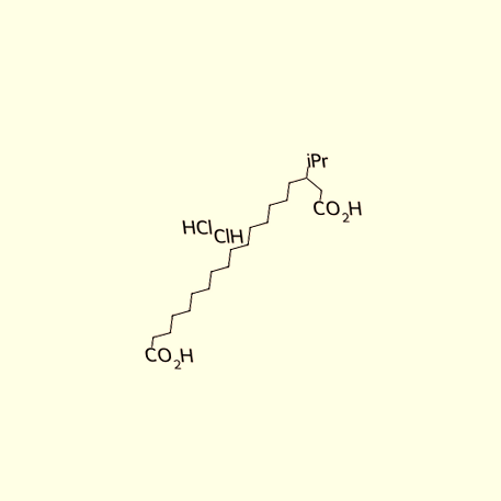 CC(C)C(CCCCCCCCCCCCCCCC(=O)O)CC(=O)O.Cl.Cl